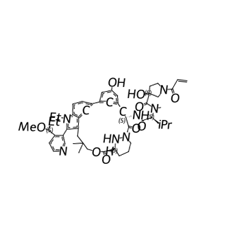 C=CC(=O)N1CC[C@@](O)(C(=O)N(C)[C@H](C(=O)N[C@H]2Cc3cc(O)cc(c3)-c3ccc4c(c3)c(c(-c3cnccc3[C@H](CC)OC)n4CC)CC(C)(C)COC(=O)[C@@H]3CCCN(N3)C2=O)C(C)C)C1